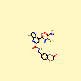 CC(C)NC(=O)C(C#N)NC(=O)c1cc(C(=O)NCc2ccc3c(c2)NC(=O)CO3)nc2c(F)cnn12